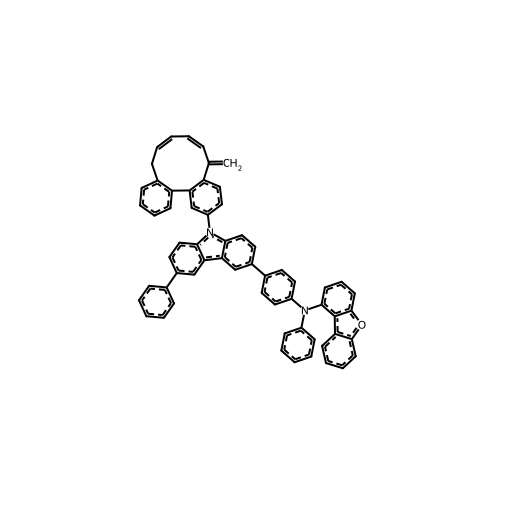 C=C1/C=C\C=C/Cc2ccccc2-c2cc(-n3c4ccc(-c5ccccc5)cc4c4cc(-c5ccc(N(c6ccccc6)c6cccc7oc8ccccc8c67)cc5)ccc43)ccc21